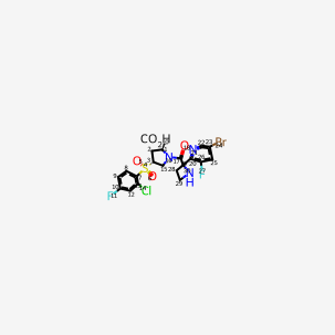 O=C(O)[C@@H]1C[C@@H](S(=O)(=O)c2ccc(F)cc2Cl)CN1C(=O)C1(c2ncc(Br)cc2F)CCN1